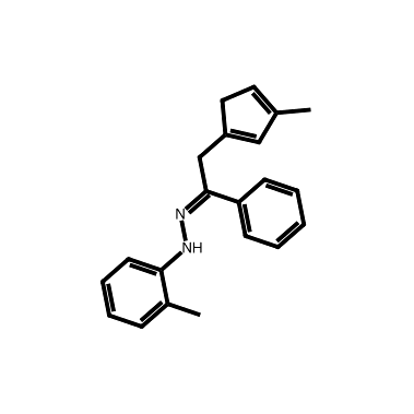 CC1=CCC(CC(=NNc2ccccc2C)c2ccccc2)=C1